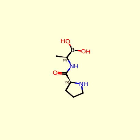 C[C@H](NC(=O)[C@@H]1CCCN1)B(O)O